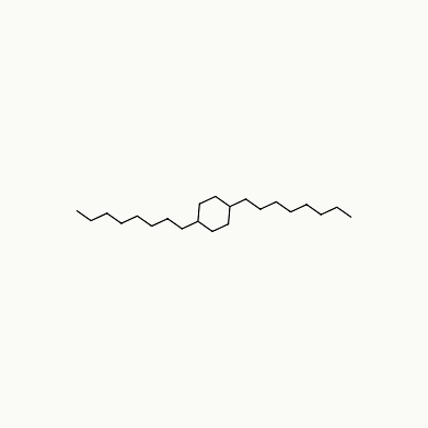 CCCCCCCCC1CCC(CCCCCCCC)CC1